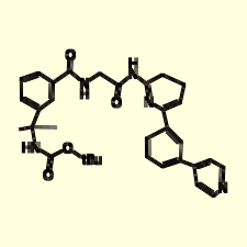 CC(C)(C)OC(=O)NC(C)(C)c1cccc(C(=O)NCC(=O)NC2=NC(c3cccc(-c4ccncc4)c3)=CCC2)c1